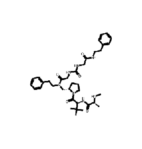 CN[C@@H](C)C(=O)N[C@H](C(=O)N1CCC[C@H]1CN(CCc1ccccc1)C(=O)CNC(=O)NCC(=O)NCCc1ccccc1)C(C)(C)C